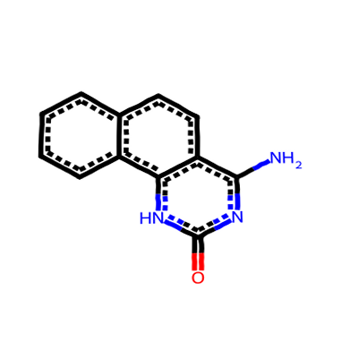 Nc1nc(=O)[nH]c2c1ccc1ccccc12